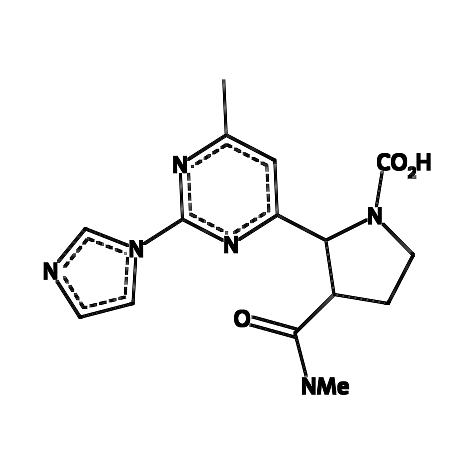 CNC(=O)C1CCN(C(=O)O)C1c1cc(C)nc(-n2ccnc2)n1